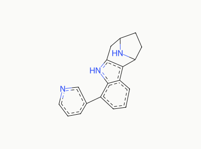 c1cncc(-c2cccc3c4c([nH]c23)CC2CCC4N2)c1